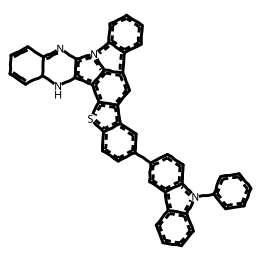 C1=CC2=Nc3c(c4c5sc6ccc(-c7ccc8c(c7)c7ccccc7n8-c7ccccc7)cc6c5cc5c6ccccc6n3c54)NC2C=C1